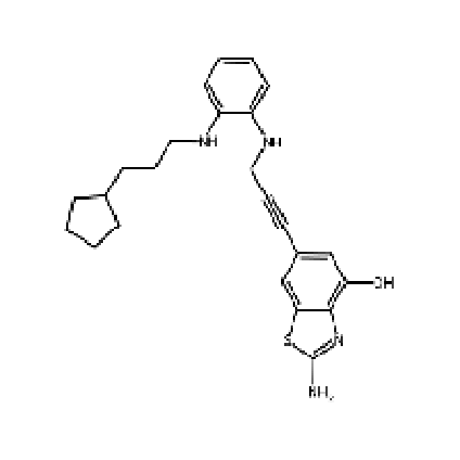 Nc1nc2c(O)cc(C#CCNc3ccccc3NCCCC3CCCC3)cc2s1